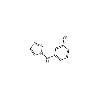 FC(F)(F)c1cccc(Nn2ccnn2)c1